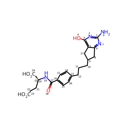 Nc1nc(O)c2c(n1)CC(CCCc1ccc(C(=O)N[C@@H](CCC(=O)O)C(=O)O)cc1)C2